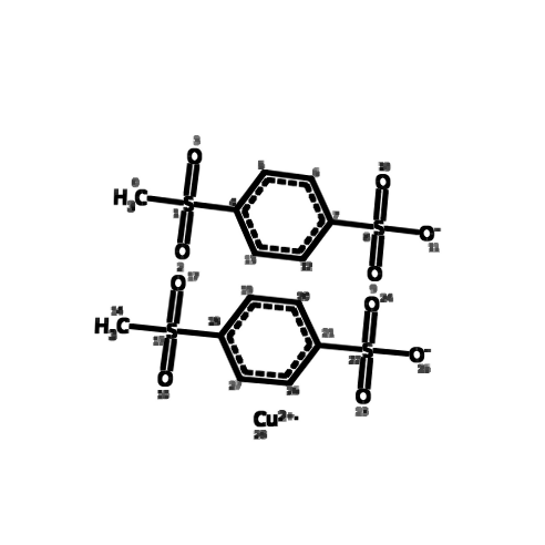 CS(=O)(=O)c1ccc(S(=O)(=O)[O-])cc1.CS(=O)(=O)c1ccc(S(=O)(=O)[O-])cc1.[Cu+2]